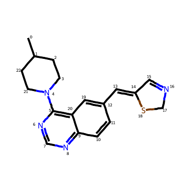 CC1CCN(c2ncnc3ccc(C=C4C=NCS4)cc23)CC1